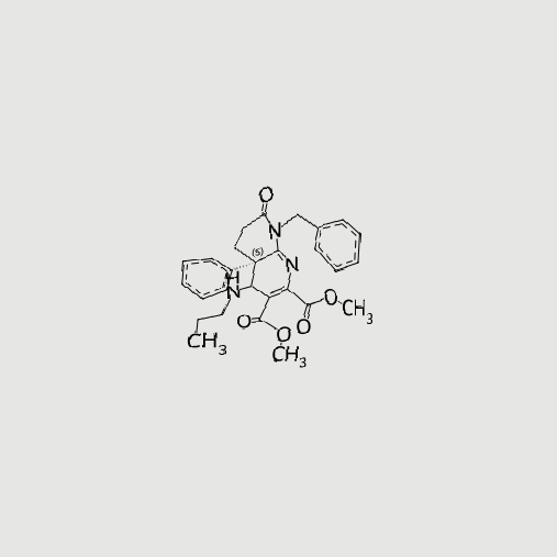 CCCNC1C(C(=O)OC)=C(C(=O)OC)N=C2N(Cc3ccccc3)C(=O)CC[C@@]21c1ccccc1